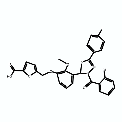 COc1c(OCc2ccc(C(=O)O)o2)cccc1C1SC(c2ccc(F)cc2)=NN1C(=O)c1ccccc1O